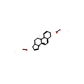 C[C@]12CC[C@H]3C(=CC=C4C[C@@H](OC(=O)CO)C=C[C@@]43C)[C@@H]1C=C[C@@H]2OC(=O)CO